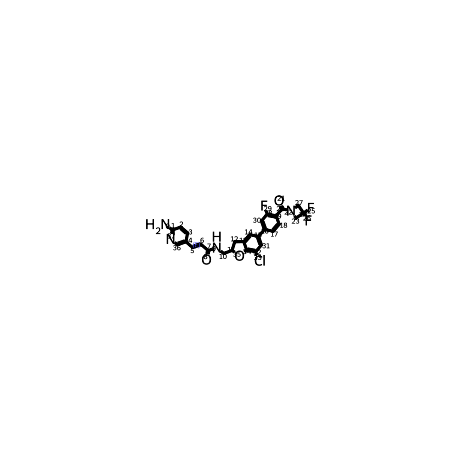 Nc1ccc(/C=C/C(=O)NCC2Cc3cc(-c4ccc(C(=O)N5CC(F)(F)C5)c(F)c4)cc(Cl)c3O2)cn1